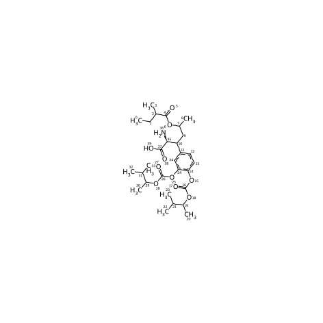 CCC(C)C(=O)OC(C)CC(c1ccc(OC(=O)OC(C)C(C)C)c(OC(=O)OC(C)C(C)C)c1)[C@H](N)C(=O)O